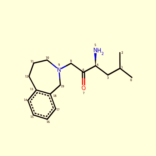 CC(C)C[C@H](N)C(=O)CN1CCCc2ccccc2C1